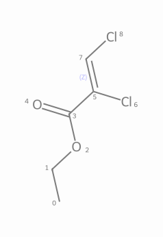 CCOC(=O)/C(Cl)=C/Cl